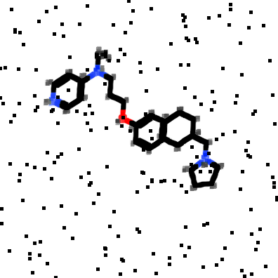 CN(CCCOc1ccc2c(c1)CCC(CN1CCCC1)C2)c1ccncc1